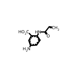 C=CC(=O)Nc1ccc(N)cc1C(=O)O